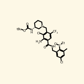 CC[S+]([O-])c1c(C)cc(Cl)cc1CNC(=O)c1cc(C(F)(F)F)c(CN2CCC[C@@H](NC(=O)OC(C)(C)C)C2)c(Cl)c1N